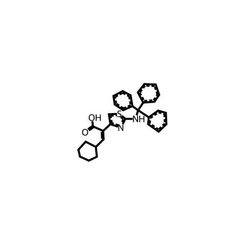 O=C(O)/C(=C\C1CCCCC1)c1csc(NC(c2ccccc2)(c2ccccc2)c2ccccc2)n1